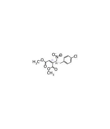 COC(=O)/C=C(\C(=O)OC)[C@@H](Cc1ccc(Cl)cc1)[N+](=O)[O-]